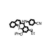 CCOc1cc(OC(C)C)c(F)c(C(Nc2ccc(C#N)cc2)c2ccc3ccccc3n2)c1